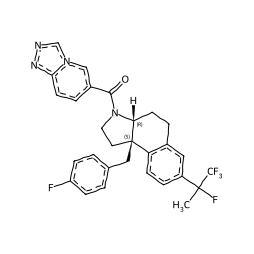 CC(F)(c1ccc2c(c1)CC[C@H]1N(C(=O)c3ccc4nncn4c3)CC[C@@]21Cc1ccc(F)cc1)C(F)(F)F